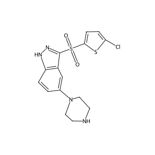 O=S(=O)(c1ccc(Cl)s1)c1n[nH]c2ccc(N3CCNCC3)cc12